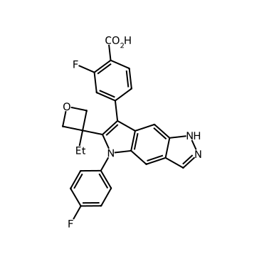 CCC1(c2c(-c3ccc(C(=O)O)c(F)c3)c3cc4[nH]ncc4cc3n2-c2ccc(F)cc2)COC1